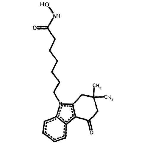 CC1(C)CC(=O)c2c(n(CCCCCCC(=O)NO)c3ccccc23)C1